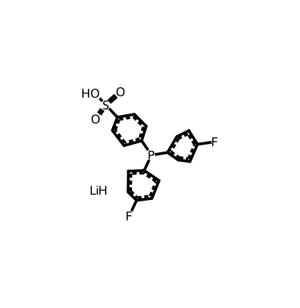 O=S(=O)(O)c1ccc(P(c2ccc(F)cc2)c2ccc(F)cc2)cc1.[LiH]